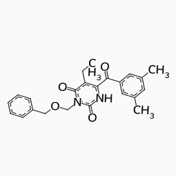 CCc1c(C(=O)c2cc(C)cc(C)c2)[nH]c(=O)n(COCc2ccccc2)c1=O